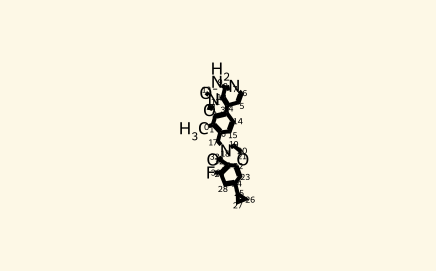 Cc1cc(-c2ccnc(N)c2[N+](=O)[O-])ccc1CN1CCOc2cc(C3CC3)cc(F)c2C1=O